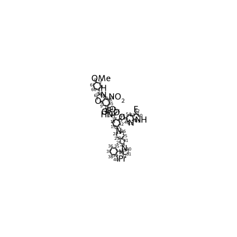 COc1ccc([C@H]2COc3cc(S(=O)(=O)NC(=O)c4ccc(N5CCC6(CC5)CC(N5CCC[C@@H]5c5ccccc5C(C)C)C6)cc4Oc4cnc5[nH]cc(F)c5c4)cc([N+](=O)[O-])c3N2)cc1